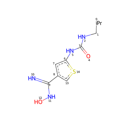 CC(C)CNC(=O)Nc1cc(C(=N)NO)cs1